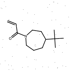 C=CC(=O)N1CCCC(C(C)(C)C)CC1